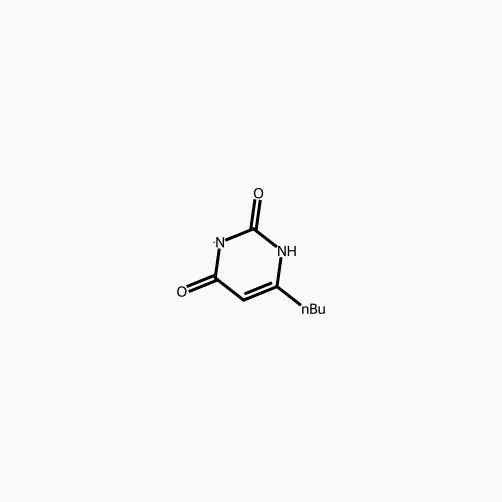 CCCCC1=CC(=O)[N]C(=O)N1